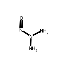 NN(N)N=O